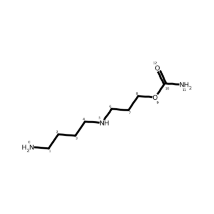 NCCCCNCCCOC(N)=O